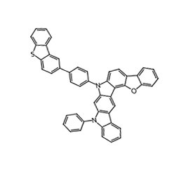 c1ccc(-n2c3ccccc3c3cc4c5c6oc7ccccc7c6ccc5n(-c5ccc(-c6ccc7sc8ccccc8c7c6)cc5)c4cc32)cc1